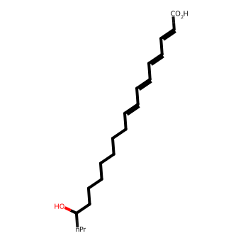 CCCC(O)CCCCCCCC=CC=CC=CC=CC(=O)O